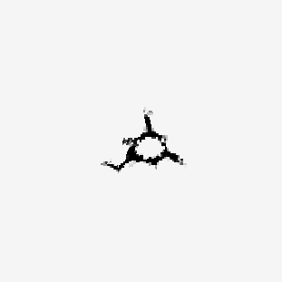 O=c1cc(CS)[nH]c(=O)[nH]1